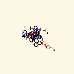 COCOc1cc(-c2nc3c4c(nc(OC[C@@]56CCCN5C[C@H](F)C6)nc4c2F)N2C[C@H]4CC[C@@H]([C@@H]2[C@H](C)C3)N4C(=O)OC(C)(C)C)c2c(C#C[Si](C(C)C)(C(C)C)C(C)C)c(F)ccc2c1